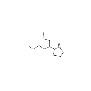 CCCCC(CCC)C1CCCN1